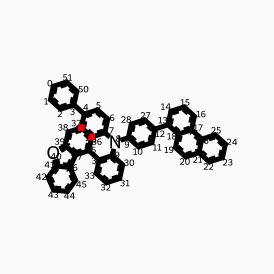 c1ccc(-c2ccc(N(c3ccc(-c4cccc5c4ccc4ccccc45)cc3)c3ccccc3-c3cccc4oc5ccccc5c34)cc2)cc1